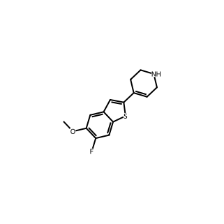 COc1cc2cc(C3=CCNCC3)sc2cc1F